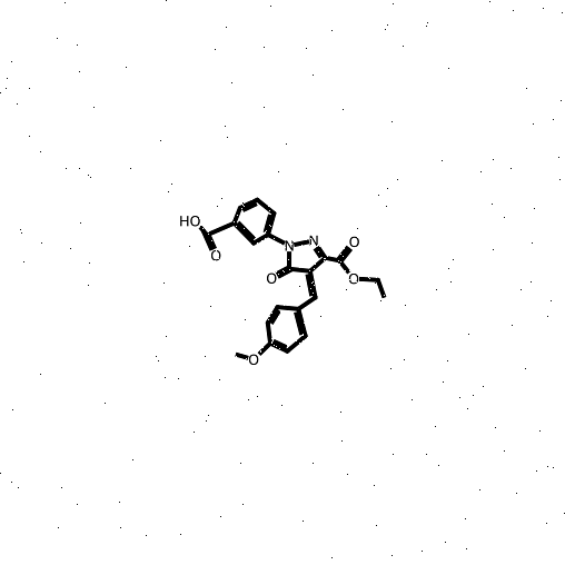 CCOC(=O)C1=NN(c2cccc(C(=O)O)c2)C(=O)C1=Cc1ccc(OC)cc1